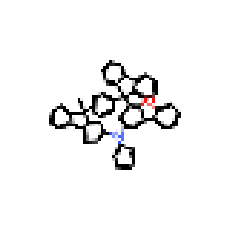 CC1(C)c2ccccc2-c2ccc(N(c3ccccc3)c3cc(C4(c5ccccc5)c5ccccc5-c5ccccc54)c4oc5ccccc5c4c3)cc21